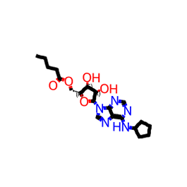 CCCCC(=O)OC[C@H]1OC(n2cnc3c(NC4CCCC4)ncnc32)[C@H](O)[C@@H]1O